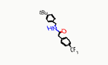 CC(C)(C)c1ccc(CNC(=O)Cc2ccc(C(F)(F)F)cc2)cc1